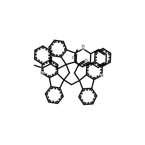 COC(=O)CC1(CC2(CC3(CC(=O)OC)c4ccccc4-c4nc5ccccc5cc43)c3ccccc3-c3nc4ccccc4cc32)C2=C(NC3C=CC=CC3=C2)c2ccccc21